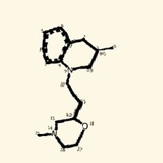 C[C@@H]1Cc2ccccc2N(CCC2CN(C)CCO2)C1